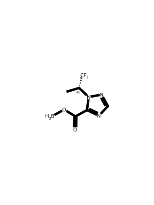 BOC(=O)c1ncnn1[C@H](C)C(F)(F)F